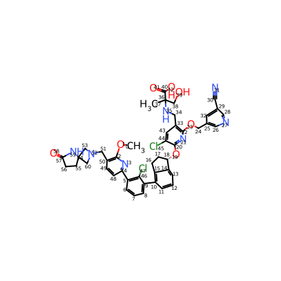 COc1nc(-c2cccc(-c3cccc4c3CC[C@@H]4Oc3nc(OCc4cncc(C#N)c4)c(CNC(C)(CO)C(=O)O)cc3Cl)c2Cl)ccc1CN1CC2(CCC(=O)N2)C1